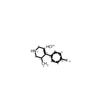 CC1CNCC=C1c1ccc(F)cc1.Cl